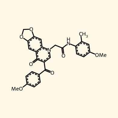 COc1ccc(C(=O)c2cn(CC(=O)Nc3ccc(OC)cc3C)c3cc4c(cc3c2=O)OCO4)cc1